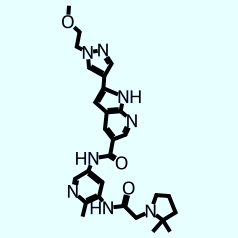 COCCn1cc(-c2cc3cc(C(=O)Nc4cnc(C)c(NC(=O)CN5CCCC5(C)C)c4)cnc3[nH]2)cn1